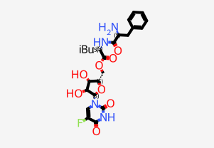 CC[C@H](C)[C@H](NC(=O)[C@@H](N)Cc1ccccc1)C(=O)OC[C@@H]1O[C@H](n2cc(F)c(=O)[nH]c2=O)C(O)C1O